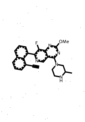 C#Cc1cccc2cccc(-c3ncc4c(N5CCNC(C)C5)nc(OC)nc4c3F)c12